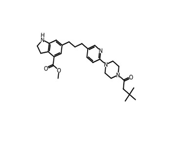 COC(=O)c1cc(CCCc2ccc(N3CCN(C(=O)CC(C)(C)C)CC3)nc2)cc2c1CCN2